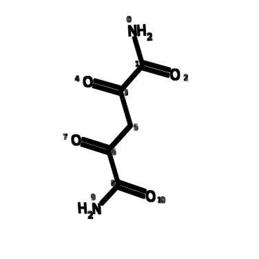 NC(=O)C(=O)CC(=O)C(N)=O